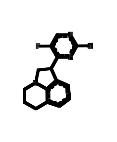 Fc1cnc(Cl)nc1C1CN2CCCc3cccc1c32